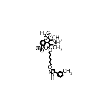 COC(=O)C1=C(C)NC(C)=C(C(=O)OCCCCCCOc2cc(-c3cccc(C)c3)[nH]n2)C1c1cccc([N+](=O)[O-])c1